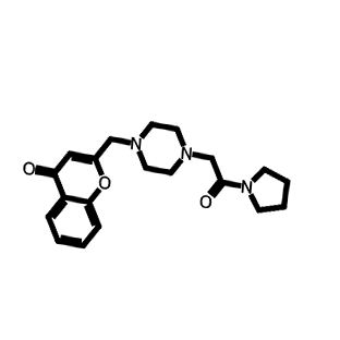 O=C(CN1CCN(Cc2cc(=O)c3ccccc3o2)CC1)N1CCCC1